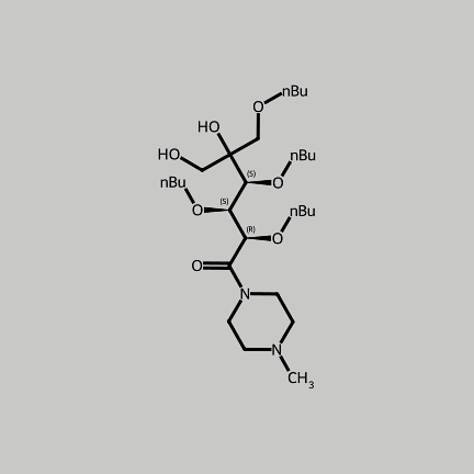 CCCCOCC(O)(CO)[C@@H](OCCCC)[C@H](OCCCC)[C@@H](OCCCC)C(=O)N1CCN(C)CC1